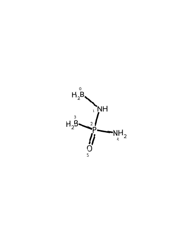 BNP(B)(N)=O